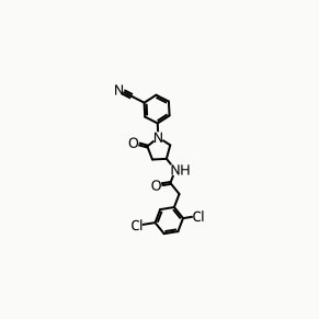 N#Cc1cccc(N2CC(NC(=O)Cc3cc(Cl)ccc3Cl)CC2=O)c1